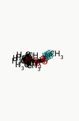 CC(F)(F)C(F)(F)C(F)(F)C(F)(F)OC(=O)/C=C/C(=O)OCCC[Si](O[Si](C)(C)C)(O[Si](C)(C)C)O[Si](C)(C)C